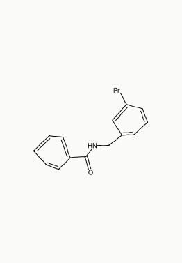 CC(C)c1cccc(CNC(=O)c2ccccc2)c1